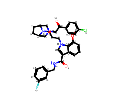 COc1cccc2c(C(=O)NCc3cccc(F)c3)cn(CCCN3C4CCC3CN(CC(=O)c3ccc(Cl)cc3)C4)c12